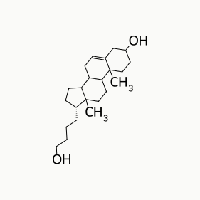 CC12CCC(O)CC1=CCC1C2CCC2(C)C1CC[C@H]2CCCCO